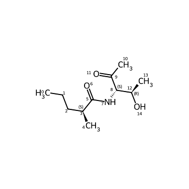 CCC[C@H](C)C(=O)N[C@H](C(C)=O)[C@@H](C)O